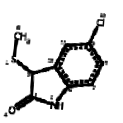 CSC1C(=O)Nc2ccc(Cl)cc21